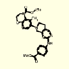 COC(=O)c1ccc(Nc2ncc3c(n2)CN(c2cnc4c(c2C)N(C(=O)OC(C)(C)C)CCO4)CC3)cc1